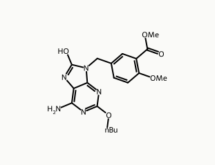 CCCCOc1nc(N)c2nc(O)n(Cc3ccc(OC)c(C(=O)OC)c3)c2n1